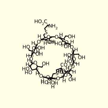 C[C@H](CSCC1O[C@@H]2O[C@@H]3C(CO)O[C@@H](O[C@@H]4C(CO)O[C@@H](O[C@@H]5C(CSC[C@@H](N)C(=O)O)OC(O[C@@H]6C(CO)O[C@H](O[C@@H]7C(CO)O[C@H](O[C@@H]8C(CO)O[C@H](O[C@H]1[C@H](O)C2O)C(O)[C@H]8O)[C@@H](O)C7O)[C@@H](O)C6O)C(O)[C@H]5O)[C@@H](O)C4O)[C@@H](O)C3O)C(=O)O